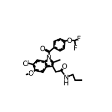 CCCNC(=O)Cc1c(C)n(C(=O)c2ccc(OC(F)F)cc2)c2cc(Cl)c(OC)cc12